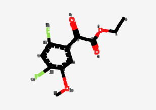 CCOC(=O)C(=O)c1cc(OC)c(F)cc1F